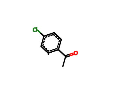 CC(=O)c1[c]cc(Cl)cc1